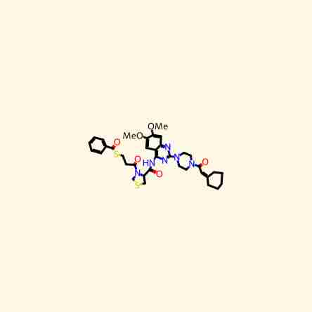 COc1cc2nc(N3CCN(C(=O)C=C4CCCCC4)CC3)nc(NC(=O)C3CSCN3C(=O)CCSC(=O)c3ccccc3)c2cc1OC